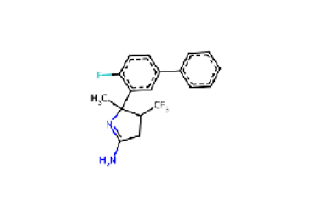 CC1(c2cc(-c3ccccc3)ccc2F)N=C(N)CC1C(F)(F)F